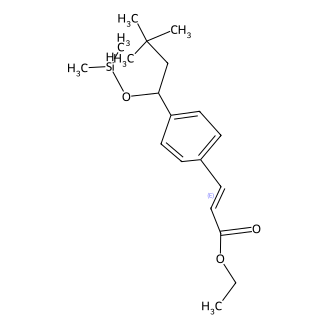 CCOC(=O)/C=C/c1ccc(C(CC(C)(C)C)O[SiH](C)C)cc1